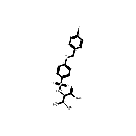 COC(=O)[C@H](NS(=O)(=O)c1ccc(OCc2ccc(F)cc2)cc1)[C@H](C)O